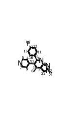 Cc1c(-c2ccncc2)c(-c2ccc(F)cc2)nc2nn(C)cc12